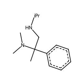 CC(C)NCC(C)(c1ccccc1)N(C)C